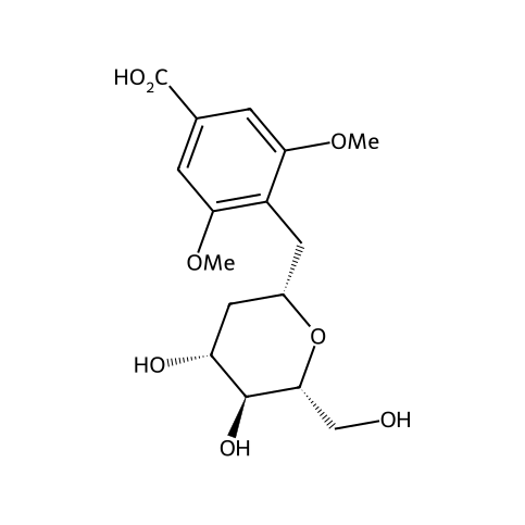 COc1cc(C(=O)O)cc(OC)c1C[C@H]1C[C@@H](O)[C@H](O)[C@@H](CO)O1